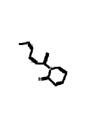 C=C(/C=C\C=C/C)n1ccccc1=N